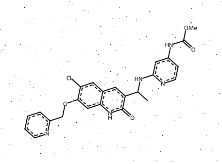 COC(=O)Nc1ccnc(NC(C)c2cc3cc(Cl)c(OCc4ccccn4)cc3[nH]c2=O)c1